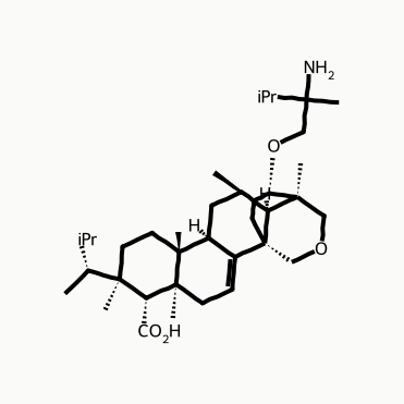 CC(C)[C@@H](C)[C@@]1(C)CC[C@]2(C)[C@H]3CC[C@@H]4[C@@]5(COC[C@]4(C)[C@@H](OCC(C)(N)C(C)C)[C@H](C)C5)C3=CC[C@@]2(C)[C@@H]1C(=O)O